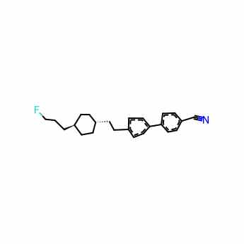 N#Cc1ccc(-c2ccc(CC[C@H]3CC[C@H](CCCF)CC3)cc2)cc1